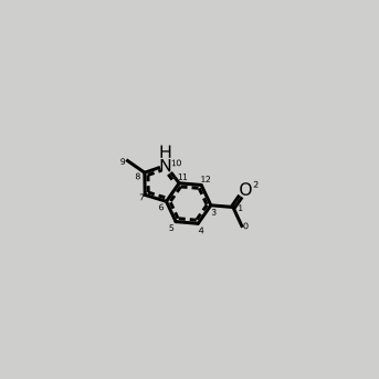 CC(=O)c1ccc2cc(C)[nH]c2c1